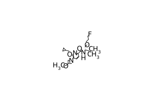 COC1CN(c2ccc(C(=O)N[C@H](COCCCF)C(C)C)nc2OCC2CC2)C1